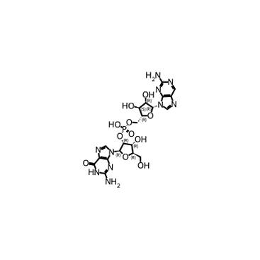 Nc1ncc2ncn([C@@H]3O[C@H](COP(=O)(O)O[C@@H]4[C@H](O)[C@@H](CO)O[C@H]4n4cnc5c(=O)[nH]c(N)nc54)[C@@H](O)[C@H]3O)c2n1